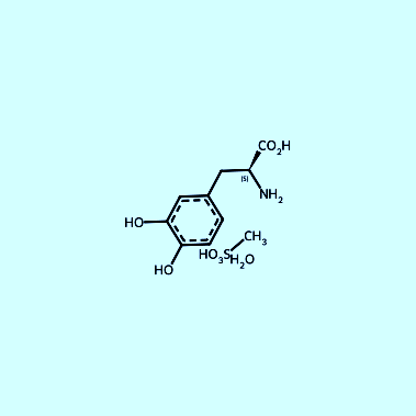 CS(=O)(=O)O.N[C@@H](Cc1ccc(O)c(O)c1)C(=O)O.O